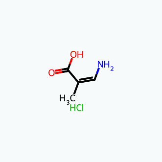 CC(=CN)C(=O)O.Cl